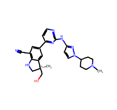 CN1CCC(n2ccc(Nc3nccc(-c4cc(C#N)c5c(c4)[C@@](C)(CO)CN5)n3)n2)CC1